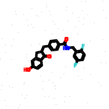 O=C(NCc1cc(F)ccc1F)c1ccc(CC2Cc3cc(O)ccc3C2=O)cc1